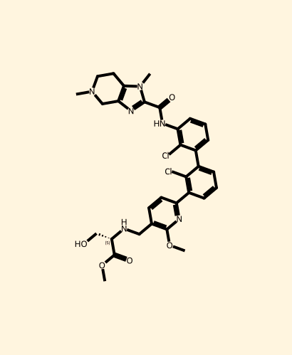 COC(=O)[C@H](CO)NCc1ccc(-c2cccc(-c3cccc(NC(=O)c4nc5c(n4C)CCN(C)C5)c3Cl)c2Cl)nc1OC